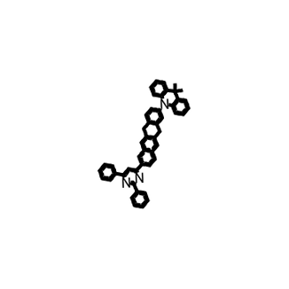 CC1(C)c2ccccc2N(c2ccc3c(c2)Cc2cc4ccc(-c5cc(-c6ccccc6)nc(-c6ccccc6)n5)cc4cc2C3)c2ccccc21